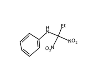 CCC(Nc1ccccc1)([N+](=O)[O-])[N+](=O)[O-]